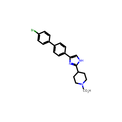 O=C(O)N1CCC(c2nc(-c3ccc(-c4ccc(Br)cc4)cc3)c[nH]2)CC1